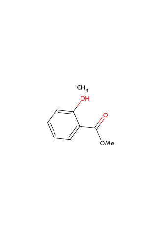 C.COC(=O)c1ccccc1O